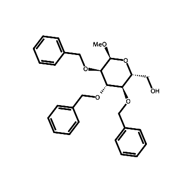 CO[C@H]1O[C@H]([CH]O)[C@@H](OCc2ccccc2)[C@H](OCc2ccccc2)[C@H]1OCc1ccccc1